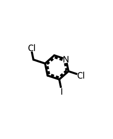 ClCc1cnc(Cl)c(I)c1